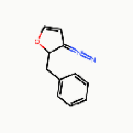 [N-]=[N+]=C1C=COC1Cc1ccccc1